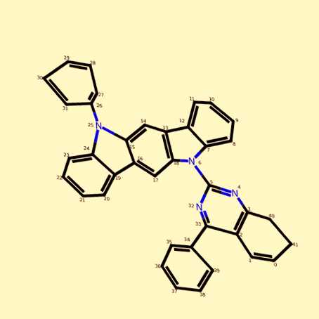 C1=Cc2c(nc(-n3c4ccccc4c4cc5c(cc43)c3ccccc3n5-c3ccccc3)nc2-c2ccccc2)CC1